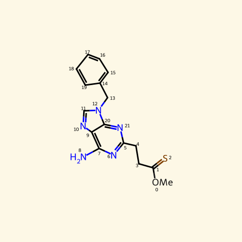 COC(=S)CCc1nc(N)c2ncn(Cc3ccccc3)c2n1